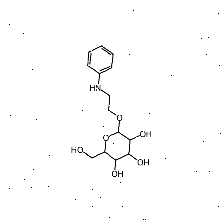 OCC1OC(OCCNc2ccccc2)C(O)C(O)C1O